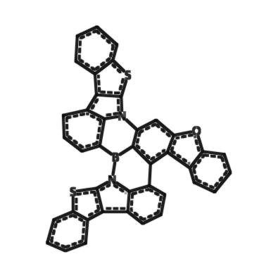 c1ccc2c(c1)oc1cc3c4c(c12)-c1cccc2c5c6ccccc6sc5n(c12)B4c1cccc2c4c5ccccc5sc4n-3c12